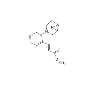 COC(=O)/C=C/c1ccccc1N1CC2N3C(C1)N23